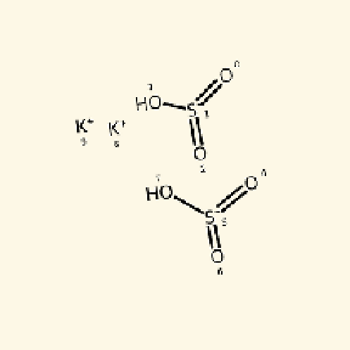 O=[S-](=O)O.O=[S-](=O)O.[K+].[K+]